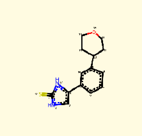 S=c1[nH]cc(-c2cccc(C3CCOCC3)c2)[nH]1